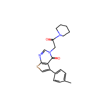 Cc1ccc(-c2csc3ncn(CC(=O)N4CCCCC4)c(=O)c23)cc1